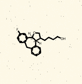 OCCCCC1CO[C@@H]2c3cc(F)ccc3Cc3ccccc3[C@@H]12